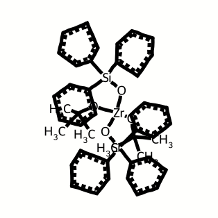 CC(C)(C)[O][Zr]([O]C(C)(C)C)([O][Si](c1ccccc1)(c1ccccc1)c1ccccc1)[O][Si](c1ccccc1)(c1ccccc1)c1ccccc1